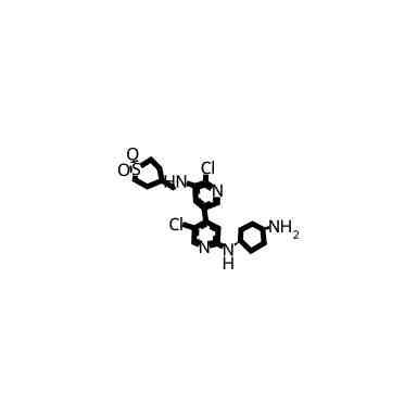 N[C@H]1CC[C@H](Nc2cc(-c3cnc(Cl)c(NCC4CCS(=O)(=O)CC4)c3)c(Cl)cn2)CC1